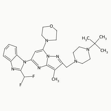 Cc1c(CN2CCN(C(C)(C)C)CC2)nn2c(N3CCOCC3)cc(-n3c(C(F)F)nc4ccccc43)nc12